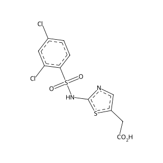 O=C(O)Cc1cnc(NS(=O)(=O)c2ccc(Cl)cc2Cl)s1